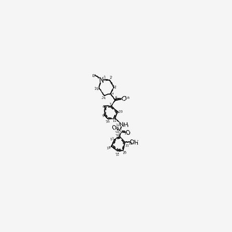 CN1CCC(C(=O)c2cccc(NS(=O)(=O)c3ccccc3O)c2)CC1